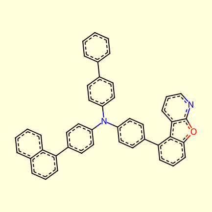 c1ccc(-c2ccc(N(c3ccc(-c4cccc5ccccc45)cc3)c3ccc(-c4cccc5oc6ncccc6c45)cc3)cc2)cc1